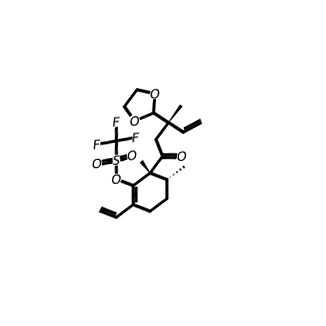 C=CC1=C(OS(=O)(=O)C(F)(F)F)[C@](C)(C(=O)C[C@@](C)(C=C)C2OCCO2)[C@H](C)CC1